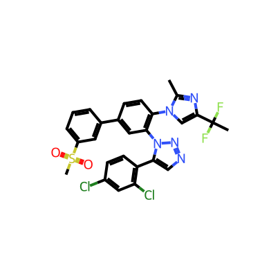 Cc1nc(C(C)(F)F)cn1-c1ccc(-c2cccc(S(C)(=O)=O)c2)cc1-n1nncc1-c1ccc(Cl)cc1Cl